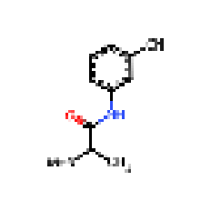 CSC(C)C(=O)Nc1cccc(C#N)c1